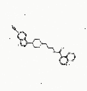 N#Cc1ccc2c(C3CCN(CCCNC(=O)c4ccnc5ccccc45)CC3)c[nH]c2c1